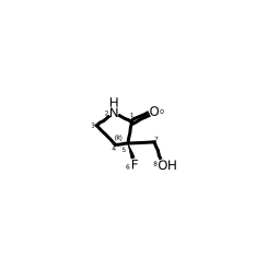 O=C1NCC[C@@]1(F)CO